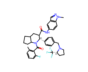 Cc1cccc(F)c1C(=O)N1C2CCCC2CC(C(=O)Nc2ccc3c(cnn3C)c2)[C@@H]1c1ccc(CN2CCC[C@@H]2C(F)(F)F)cc1